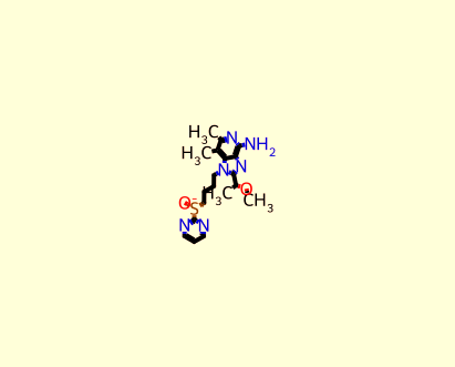 COC(C)c1nc2c(N)nc(C)c(C)c2n1CCCC[S+]([O-])c1ncccn1